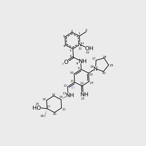 Cc1cccc(C(=O)NC2=C/C(=C/N[C@H]3CC[C@](C)(O)CC3)C(=N)C=C2N2CCCC2)[n+]1O